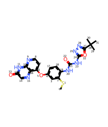 CSc1cc(Oc2ccnc3[nH]c(=O)cnc23)ccc1NC(=O)Nc1nnc(C(C)(C)C)o1